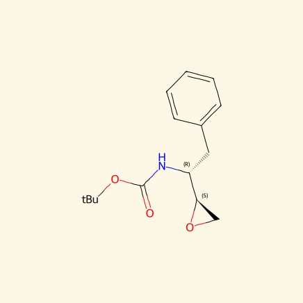 CC(C)(C)OC(=O)N[C@H](Cc1ccccc1)[C@H]1CO1